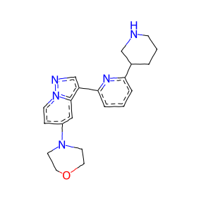 c1cc(-c2cnn3ccc(N4CCOCC4)cc23)nc(C2CCCNC2)c1